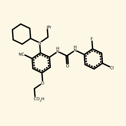 CC(C)CN(c1c(C#N)cc(OCC(=O)O)cc1NC(=O)Nc1ccc(Cl)cc1F)C1CCCCC1